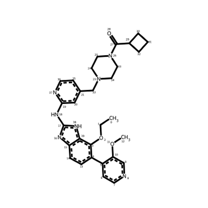 CCOc1c(-c2ccncc2OC)ccc2nc(Nc3cc(CN4CCN(C(=O)C5CCC5)CC4)ccn3)[nH]c12